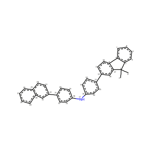 CC1(C)c2ccccc2-c2ccc(-c3ccc(Nc4ccc(-c5ccc6ccccc6c5)cc4)cc3)cc21